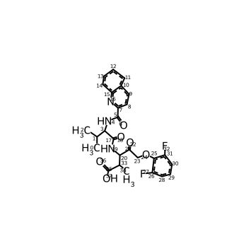 CC(C)C(NC(=O)c1ccc2ccccc2n1)C(=O)NC(C(=O)COc1c(F)cccc1F)C(C)C(=O)O